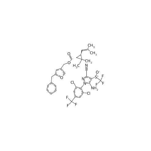 CC(C)=C[C@@H]1[C@@H](C(=O)OCc2coc(Cc3ccccc3)c2)C1(C)C.N#Cc1nn(-c2c(Cl)cc(C(F)(F)F)cc2Cl)c(N)c1[S+]([O-])C(F)(F)F